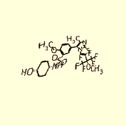 COc1ccc(-c2c(C)nc3sc(C(OC)(C(F)(F)F)C(F)(F)F)cn23)cc1S(=O)(=O)N[C@H]1CC[C@@H](O)CC1